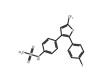 CS(=O)(=O)Nc1ccc(-c2cc(C(F)(F)F)sc2-c2ccc(F)cc2)cc1